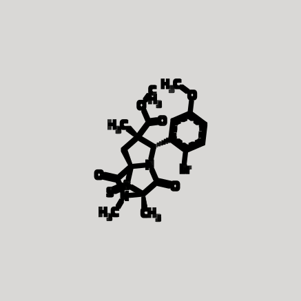 COC(=O)[C@@]1(C)C[C@@]23C(=O)N(C)[C@@](C)(C(=O)N2[C@H]1c1cc(OC)ccc1Br)S3=S